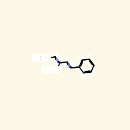 O=C/C=C(C=O)/C=C/c1ccccc1